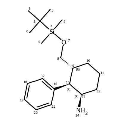 CC(C)(C)[Si](C)(C)OC[C@@H]1CCC[C@@H](N)[C@H]1c1ccccc1